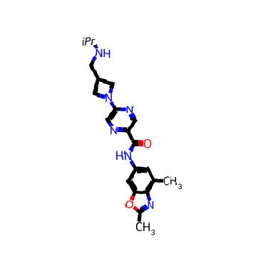 Cc1nc2c(C)cc(NC(=O)c3cnc(N4CC(CNC(C)C)C4)cn3)cc2o1